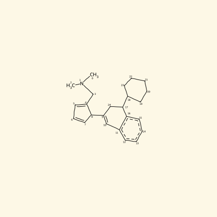 CN(C)CC1=CC=CC1C1=Cc2ccccc2C(C2CCCCC2)C1